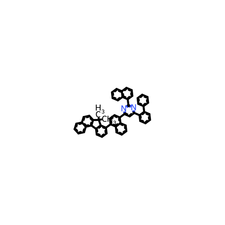 CC1(C)c2ccc3ccccc3c2-c2cccc(-c3ccc(-c4cc(-c5ccccc5-c5ccccc5)nc(-c5cccc6ccccc56)n4)c4ccccc34)c21